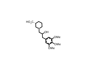 COc1cc(CC(O)CN2CCC[C@@H](C(=O)O)C2)cc(OC)c1OC